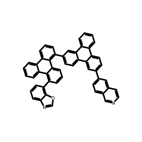 c1cc(-c2cccc3c4c(-c5ccc6c7cc(-c8ccc9cnccc9c8)ccc7c7ccccc7c6c5)cccc4c4ccccc4c23)c2ocnc2c1